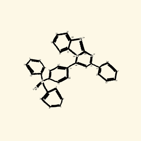 O=P(c1ccccc1)(c1ccccc1)c1ccc(-c2cc(-c3ccccc3)nc3nc4ccccc4n23)cc1